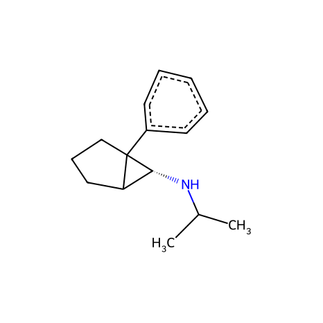 CC(C)N[C@@H]1C2CCCC21c1ccccc1